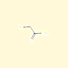 [CH2]OC(=O)CC(C)=O